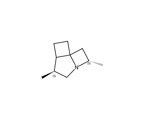 C[C@@H]1CN2[C@@H](C)CC23CCC13